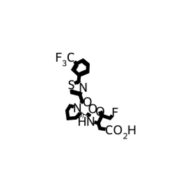 O=C(O)CC(NC(=O)[C@@H]1CCCCN1C(=O)c1csc(-c2cccc(C(F)(F)F)c2)n1)C(=O)CF